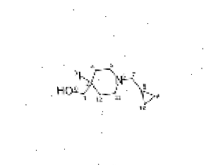 OCC1(I)CCN(CC2CC2)CC1